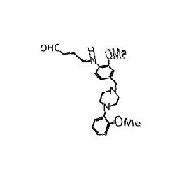 COc1cc(CN2CCN(c3ccccc3OC)CC2)ccc1NCCCC=O